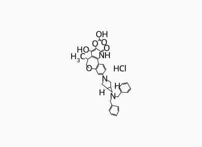 CC1COc2cc(N3C[C@@H]4[C@H](C3)[C@H]4N(Cc3ccccc3)Cc3ccccc3)ccc2-c2[nH]c(=O)c(OC(=O)O)c(O)c21.Cl